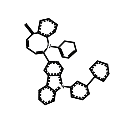 C=C1/C=C\C=C(\c2ccc3c(c2)c2ccccc2n3-c2cccc(-c3ccccc3)c2)N(C2=CC=CCC2)c2ccccc21